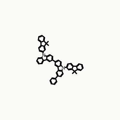 CC1(C)c2ccccc2-c2ccc(-n3c4ccccc4c4cc(-c5ccc6c(c5)c5cc(-c7ccccc7)ccc5n6-c5ccc6c(c5)C(C)(C)c5ccccc5-6)ccc43)cc21